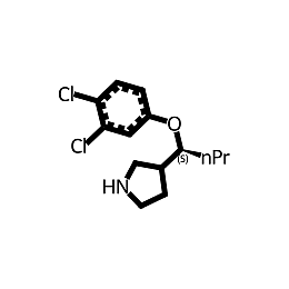 CCC[C@H](Oc1ccc(Cl)c(Cl)c1)C1CCNC1